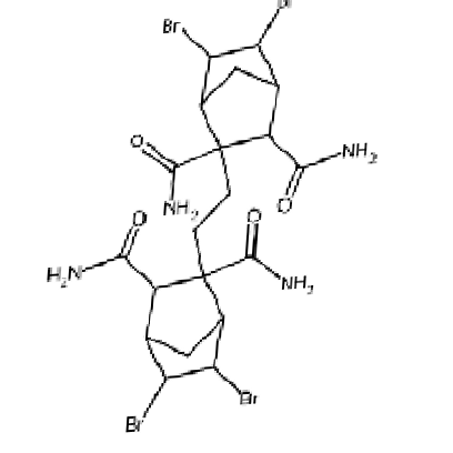 NC(=O)C1C2CC(C(Br)C2Br)C1(CCC1(C(N)=O)C2CC(C(Br)C2Br)C1C(N)=O)C(N)=O